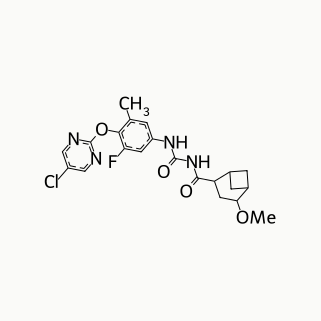 COC1CC(C(=O)NC(=O)Nc2cc(C)c(Oc3ncc(Cl)cn3)c(F)c2)C2CC1C2